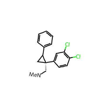 CNC[C@]1(c2ccc(Cl)c(Cl)c2)CC1c1ccccc1